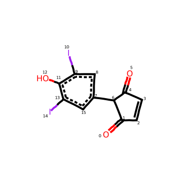 O=C1C=CC(=O)C1c1cc(I)c(O)c(I)c1